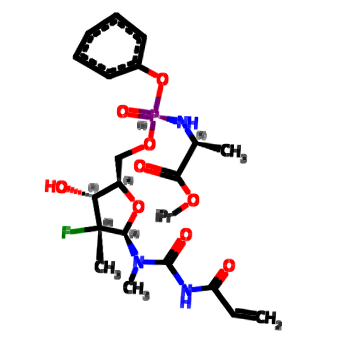 C=CC(=O)NC(=O)N(C)[C@@H]1O[C@H](CO[P@@](=O)(N[C@@H](C)C(=O)OC(C)C)Oc2ccccc2)[C@@H](O)[C@@]1(C)F